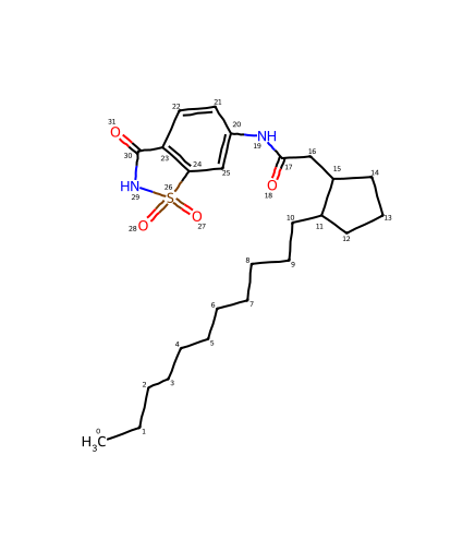 CCCCCCCCCCCC1CCCC1CC(=O)Nc1ccc2c(c1)S(=O)(=O)NC2=O